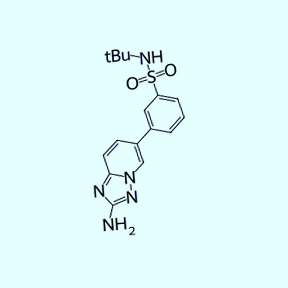 CC(C)(C)NS(=O)(=O)c1cccc(-c2ccc3nc(N)nn3c2)c1